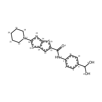 O=C(Nc1ccc(C(O)O)cc1)c1cc2sc(N3CCCCC3)nc2s1